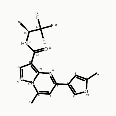 Cc1cc(-c2cc(C)n3ncc(C(=O)N[C@@H](C)C(F)(F)F)c3n2)co1